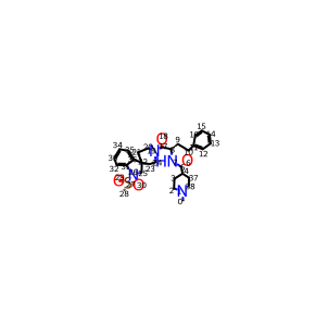 CN1CCC(C(=O)N[C@H](CCc2ccccc2)C(=O)N2CCC3(CC2)CN(S(C)(=O)=O)c2ccccc23)CC1